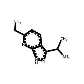 CCc1ccc2c(C(C)C)n[nH]c2n1